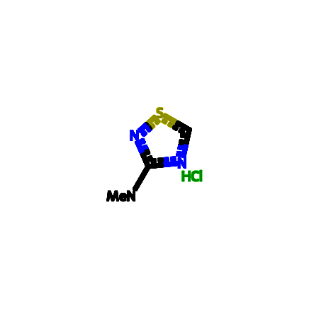 CNc1ncsn1.Cl